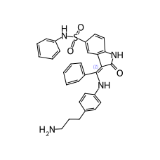 NCCCc1ccc(N/C(=C2\C(=O)Nc3ccc(S(=O)(=O)Nc4ccccc4)cc32)c2ccccc2)cc1